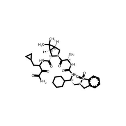 CC(C)(C)[C@H](NC(=O)N[C@H](CN1Cc2ccccc2S1(=O)=O)C1CCCCC1)C(=O)N1C[C@H]2[C@@H]([C@H]1C(=O)NC(CC1CC1)C(=O)C(N)=O)C2(C)C